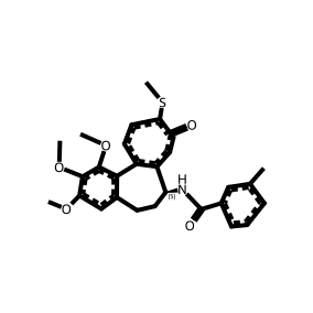 COc1cc2c(c(OC)c1OC)-c1ccc(SC)c(=O)cc1[C@@H](NC(=O)c1cccc(C)c1)CC2